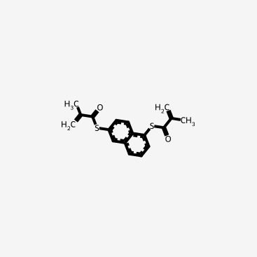 C=C(C)C(=O)Sc1ccc2c(SC(=O)C(=C)C)cccc2c1